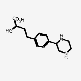 O=C(O)C(O)CCc1ccc(C2CNCCN2)cc1